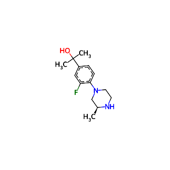 C[C@H]1CN(c2ccc(C(C)(C)O)cc2F)CCN1